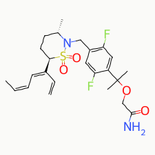 C=C/C(=C\C=C/C)[C@H]1CC[C@H](C)N(Cc2cc(F)c(C(C)(C)OCC(N)=O)cc2F)S1(=O)=O